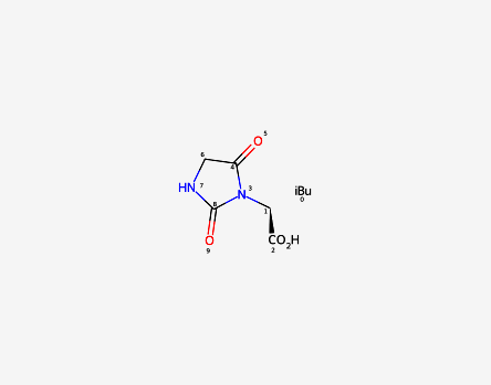 CC[C@H](C)[C@@H](C(=O)O)N1C(=O)CNC1=O